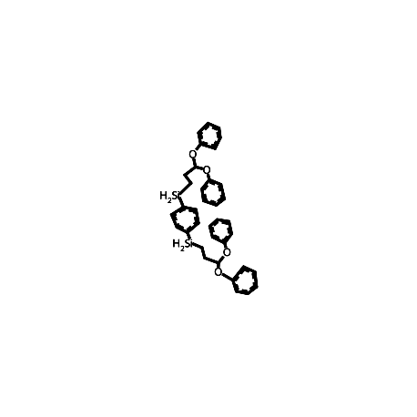 c1ccc(OC(CC[SiH2]c2ccc([SiH2]CCC(Oc3ccccc3)Oc3ccccc3)cc2)Oc2ccccc2)cc1